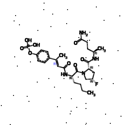 CCCC[C@H](NC(=O)/C=C(\C)c1ccc(OP(=O)(O)O)cc1)C(=O)N1C[C@@H](F)C[C@H]1C(=O)N[C@H](C)CCC(N)=O